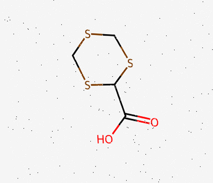 O=C(O)C1SCSCS1